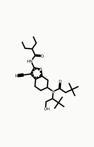 CCC(CC)C(=O)Nc1sc2c(c1C#N)CCC(N(C(=O)CC(C)(C)C)C(CO)C(C)(C)C)C2